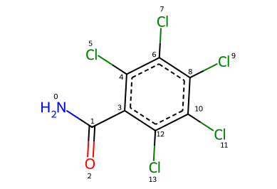 NC(=O)c1c(Cl)c(Cl)c(Cl)c(Cl)c1Cl